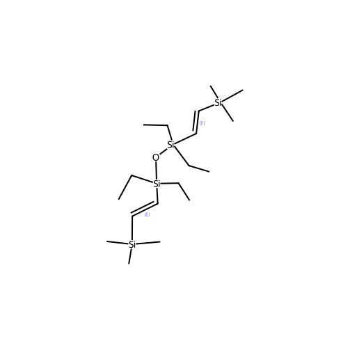 CC[Si](/C=C/[Si](C)(C)C)(CC)O[Si](/C=C/[Si](C)(C)C)(CC)CC